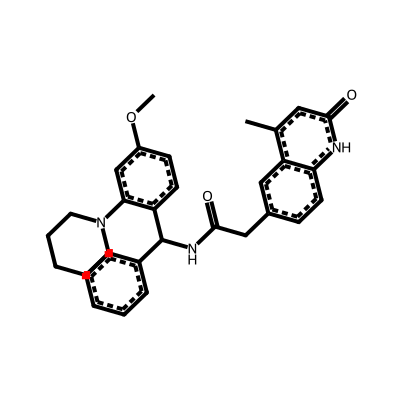 COc1ccc(C(NC(=O)Cc2ccc3[nH]c(=O)cc(C)c3c2)c2ccccc2)c(N2CCCCC2)c1